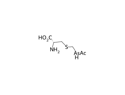 CC(=O)[AsH]CSC[C@H](N)C(=O)O